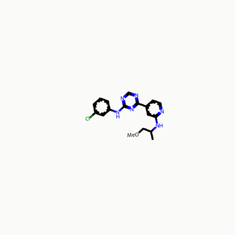 COCC(C)Nc1cc(-c2ncnc(Nc3cccc(Cl)c3)n2)ccn1